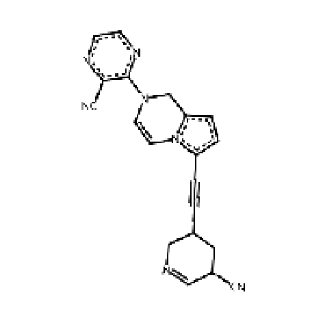 N#Cc1nccnc1N1C=Cn2c(C#CC3CN=CC(C#N)C3)ccc2C1